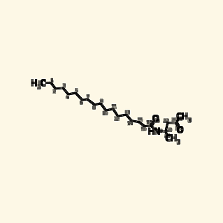 CCCCCCCCCCCCCCCCCC(=O)NC(C)CC(C)=O